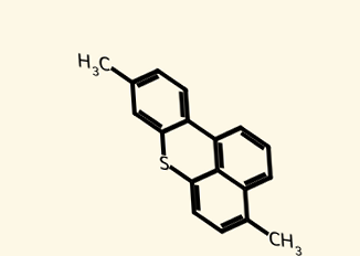 Cc1ccc2c(c1)Sc1ccc(C)c3cccc-2c13